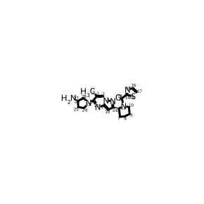 Cc1cn2nc([C@@H]3CCCCN3C(=O)c3nccs3)cc2nc1N1CC[C@H](N)C1